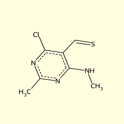 CNc1nc(C)nc(Cl)c1C=S